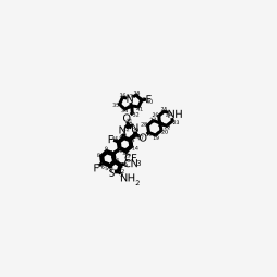 N#Cc1c(N)sc2c(F)ccc(-c3c(C(F)(F)F)cc4c(OC5CCC6(CCNCC6)CC5)nc(OCC56CCCN5CC(F)C6)nc4c3F)c12